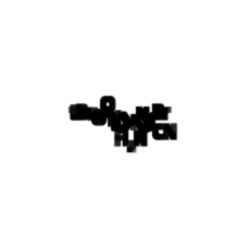 CC(C)(C)OC(=O)N1CCC(n2nc(Br)c(C#N)c2N)C1